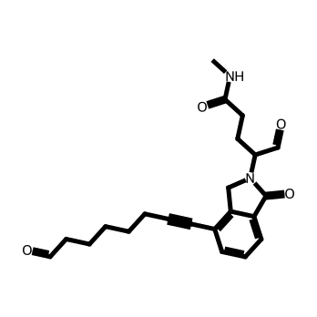 CNC(=O)CCC(C=O)N1Cc2c(C#CCCCCCC=O)cccc2C1=O